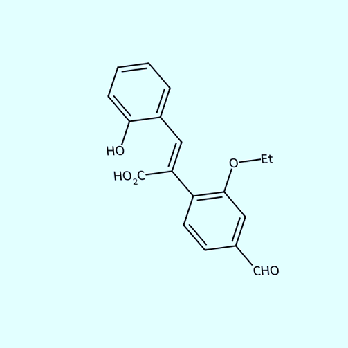 CCOc1cc(C=O)ccc1C(=Cc1ccccc1O)C(=O)O